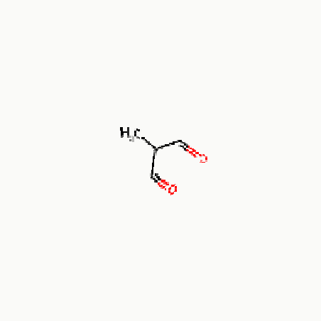 CC(C=O)C=O